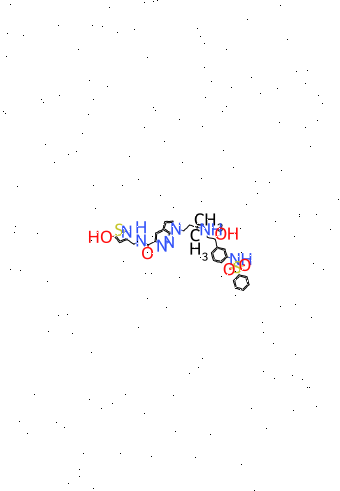 CC(C)(CCn1ccc2cc(C(=O)NCc3cc(O)sn3)nnc21)NC[C@H](O)c1cccc(NS(=O)(=O)c2ccccc2)c1